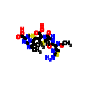 CON=C(C(=O)N[C@@H]1C(=O)N2C(C(=O)O)=C(C(S)c3c(C)c(C)nc4nc(C(=O)O)nn34)CS[C@H]12)c1csc(N)n1